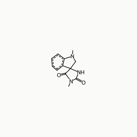 CN1C(=O)NC2(CN(C)c3ccccc32)C1=O